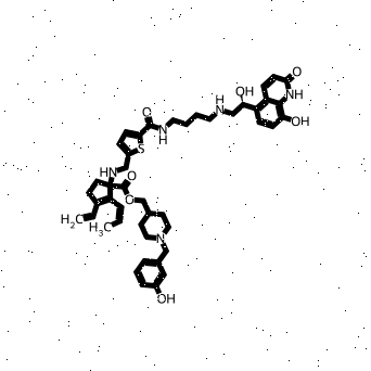 C=CC1=C(/C=C\C)C(NCc2ccc(C(=O)NCCCCNC[C@H](O)c3ccc(O)c4[nH]c(=O)ccc34)s2)(C(=O)OCC2CCN(Cc3cccc(O)c3)CC2)CC1